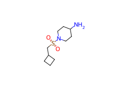 NC1CCN(S(=O)(=O)CC2CCC2)CC1